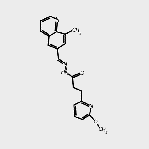 COc1cccc(CCC(=O)N/N=C/c2cc(C)c3ncccc3c2)n1